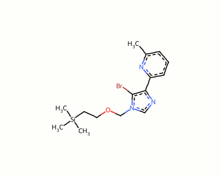 Cc1cccc(-c2ncn(COCC[Si](C)(C)C)c2Br)n1